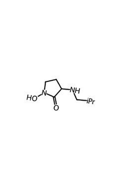 CC(C)CNC1CCN(O)C1=O